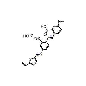 C=Cc1ccc(/C=N/c2ccc(/C=C/c3ccc(N=C)cc3S(=O)O)c(SOOO)c2)s1